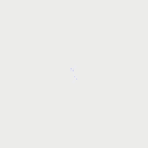 C(CCc1ccccc1)=NN=CCCc1ccccc1